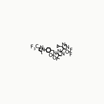 Cc1cc(C(F)(F)F)nn1-c1ccc(CN2C(=O)OC(C)(C)c3cnc(-c4c(OC(F)F)ncnc4C4CC4)nc32)cc1